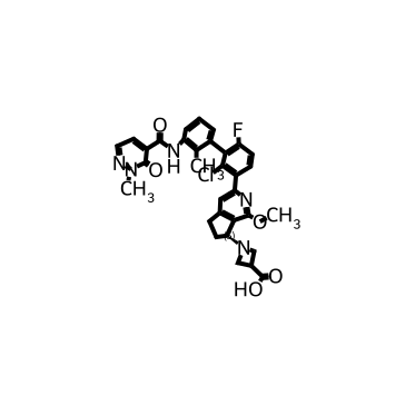 COc1nc(-c2ccc(F)c(-c3cccc(NC(=O)c4ccnn(C)c4=O)c3C)c2Cl)cc2c1[C@@H](N1CC(C(=O)O)C1)CC2